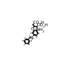 N[C@H](C(=O)O)C(CC(=O)O)Oc1cccc(SCc2ccccc2)c1